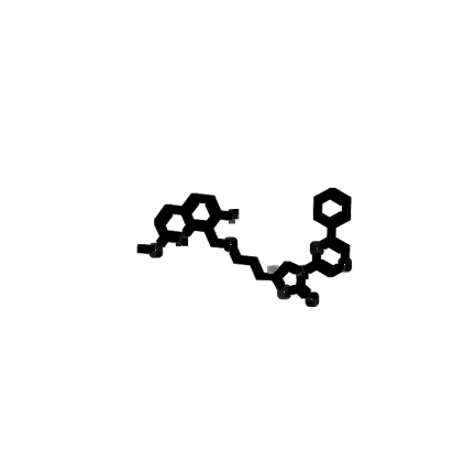 COc1ccc2ccc(F)c(COCCC[C@H]3CN(C4=COC=C(C5=CC=CCC5)O4)C(=O)O3)c2n1